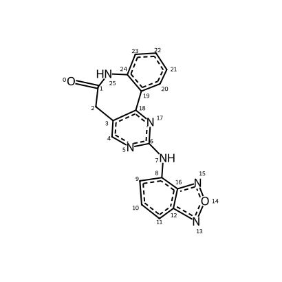 O=C1Cc2cnc(Nc3cccc4nonc34)nc2-c2ccccc2N1